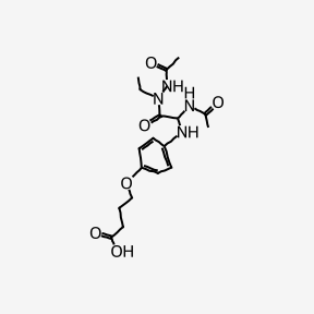 CCN(NC(C)=O)C(=O)C(NC(C)=O)Nc1ccc(OCCCC(=O)O)cc1